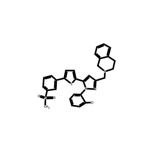 CS(=O)(=O)c1cccc(-c2ccc(-c3cc(CN4CCc5ccccc5C4)nn3-c3ccccc3Cl)s2)c1